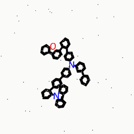 c1ccc(-c2cccc(N(c3ccc(-c4ccc(-c5ccccc5-n5c6ccccc6c6ccccc65)cc4)cc3)c3ccc(-c4ccccc4-c4cccc5c4oc4ccccc45)cc3)c2)cc1